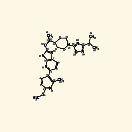 CSc1ccc(-c2ccc3nc(O[C@@H](C)C4CCN(c5nc(C(C)C)no5)CC4)sc3n2)c(C)n1